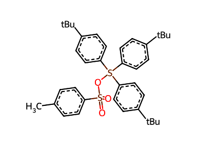 Cc1ccc(S(=O)(=O)OS(c2ccc(C(C)(C)C)cc2)(c2ccc(C(C)(C)C)cc2)c2ccc(C(C)(C)C)cc2)cc1